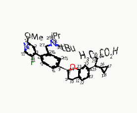 COc1cc(-c2ccc([C@@H]3CCc4ccc([C@H](C5CC5)[C@H](C)C(=O)O)cc4O3)cc2CN(C(C)C)C(C)(C)C)c(F)cn1